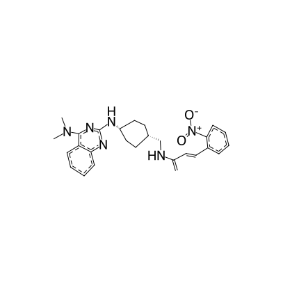 C=C(/C=C/c1ccccc1[N+](=O)[O-])NC[C@H]1CC[C@@H](Nc2nc(N(C)C)c3ccccc3n2)CC1